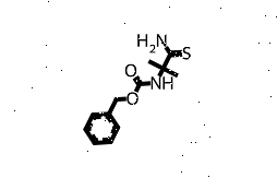 CC(C)(NC(=O)OCc1ccccc1)C(N)=S